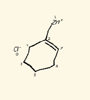 [Cl-].[Zn+][C]1=CCCCC1